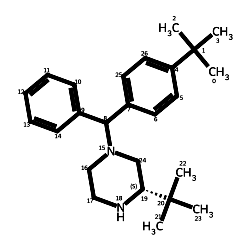 CC(C)(C)c1ccc(C(c2ccccc2)N2CCN[C@@H](C(C)(C)C)C2)cc1